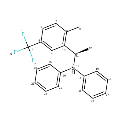 Cc1ccc(C(F)(F)F)cc1[C@@H](C)[SiH](c1ccccc1)c1ccccc1